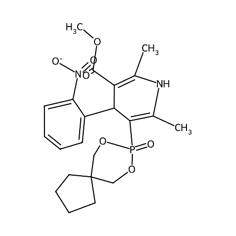 COC(=O)C1=C(C)NC(C)=C(P2(=O)OCC3(CCCC3)CO2)C1c1ccccc1[N+](=O)[O-]